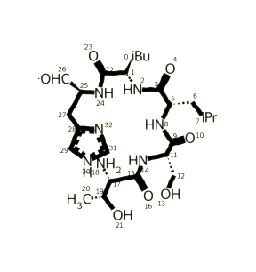 CC[C@H](C)[C@H](NC(=O)[C@H](CC(C)C)NC(=O)[C@H](CO)NC(=O)[C@@H](N)[C@@H](C)O)C(=O)N[C@H]([C]=O)Cc1c[nH]cn1